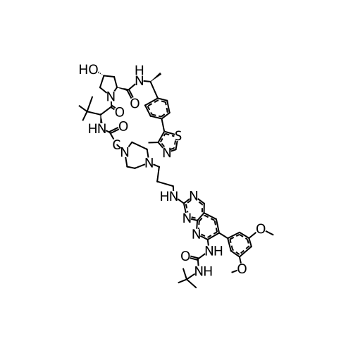 COc1cc(OC)cc(-c2cc3cnc(NCCCN4CCN(CC(=O)N[C@H](C(=O)N5C[C@H](O)C[C@H]5C(=O)N[C@@H](C)c5ccc(-c6scnc6C)cc5)C(C)(C)C)CC4)nc3nc2NC(=O)NC(C)(C)C)c1